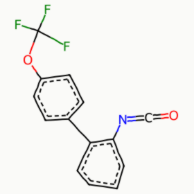 O=C=Nc1ccccc1-c1ccc(OC(F)(F)F)cc1